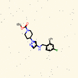 CCCc1cc(F)ccc1CNc1cnn(C2CCN(C(=O)OC(C)(C)C)CC2)c1